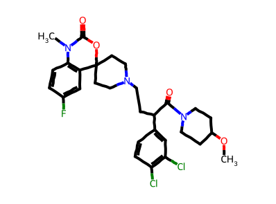 COC1CCN(C(=O)C(CCN2CCC3(CC2)OC(=O)N(C)c2ccc(F)cc23)c2ccc(Cl)c(Cl)c2)CC1